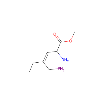 CCC(=CC(N)C(=O)OC)CP